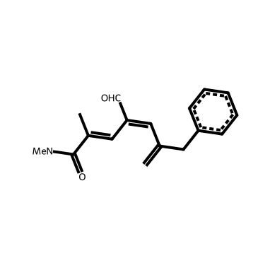 C=C(/C=C(C=O)\C=C(/C)C(=O)NC)Cc1ccccc1